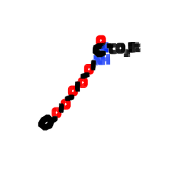 CCOC(=O)Cn1cc(NCCOCCOCCOCCOCCOCc2ccccc2)ccc1=O